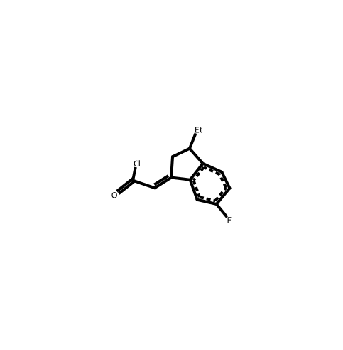 CCC1C/C(=C\C(=O)Cl)c2cc(F)ccc21